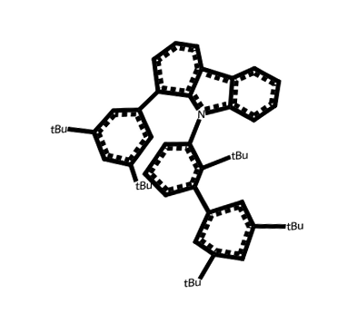 CC(C)(C)c1cc(-c2cccc(-n3c4ccccc4c4cccc(-c5cc(C(C)(C)C)cc(C(C)(C)C)c5)c43)c2C(C)(C)C)cc(C(C)(C)C)c1